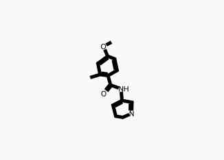 COc1ccc(C(=O)NC2=CCCN=C2)c(C)c1